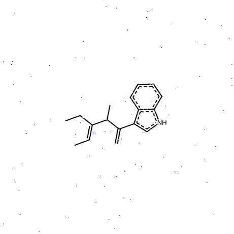 C=C(c1c[nH]c2ccccc12)C(C)/C(=C/C)CC